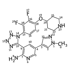 Cn1cc(-c2cnc(N)c(-c3nnnn3-c3ccc(OC4CCNCC4)c(F)c3F)c2)cn1